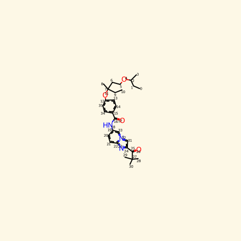 CCC(C)OCCC(C)(CC)Oc1ccc(C(=O)Nc2ccc3nc(C(=O)C(C)(C)C)cn3c2)cc1